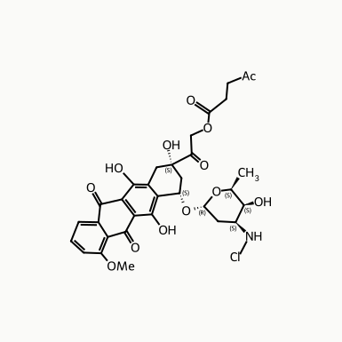 COc1cccc2c1C(=O)c1c(O)c3c(c(O)c1C2=O)C[C@@](O)(C(=O)COC(=O)CCC(C)=O)C[C@@H]3O[C@H]1C[C@H](NCl)[C@H](O)[C@H](C)O1